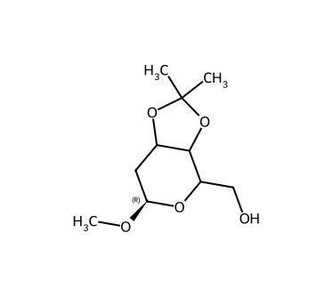 CO[C@H]1CC2OC(C)(C)OC2C(CO)O1